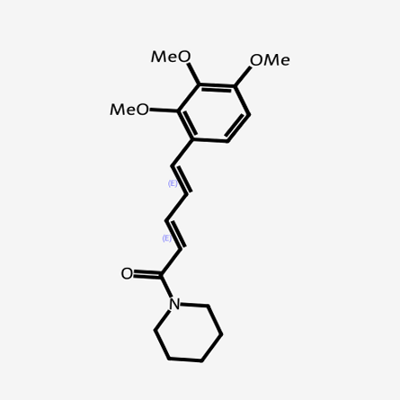 COc1ccc(/C=C/C=C/C(=O)N2CCCCC2)c(OC)c1OC